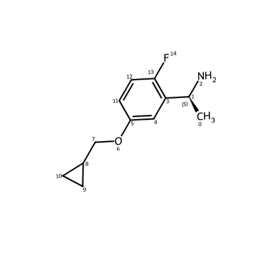 C[C@H](N)c1cc(OCC2CC2)ccc1F